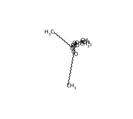 CCCCCCCCCCCCCCCCCCCCC(=O)OC[C@H](COP(=O)([O-])OCC[N+](C)(C)C)OC(=O)CCCCCCCCCCCCCCC